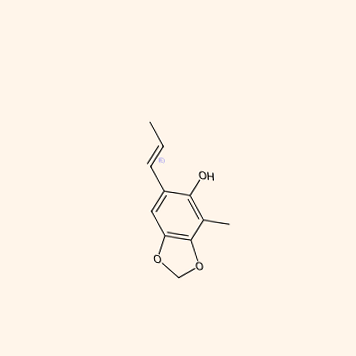 C/C=C/c1cc2c(c(C)c1O)OCO2